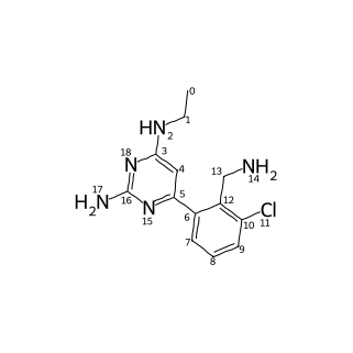 CCNc1cc(-c2cccc(Cl)c2CN)nc(N)n1